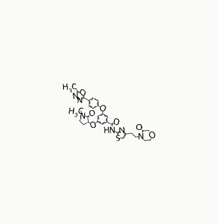 Cc1nnc(-c2ccc(Oc3cc(OC4CCN(C)C4=O)cc(C(=O)Nc4nc(CCN5CCOCC5=O)cs4)c3)cc2)o1